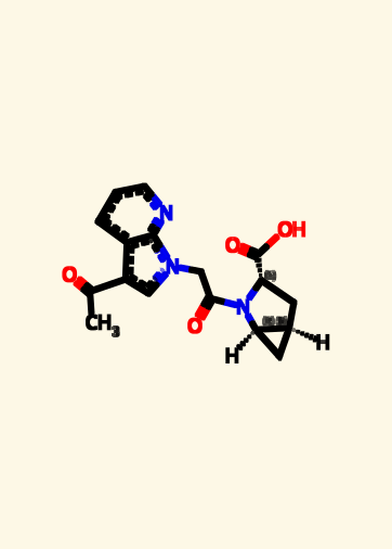 CC(=O)c1cn(CC(=O)N2[C@@H]3C[C@@H]3C[C@H]2C(=O)O)c2ncccc12